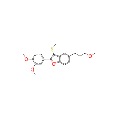 COCCCc1ccc2oc(-c3ccc(OC)c(OC)c3)c(SC)c2c1